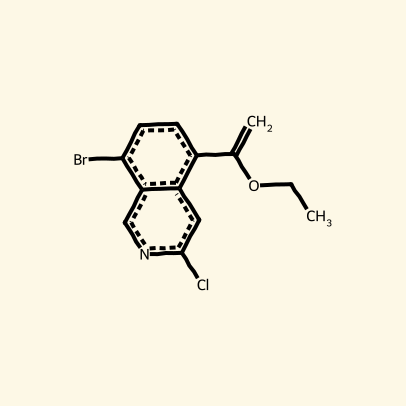 C=C(OCC)c1ccc(Br)c2cnc(Cl)cc12